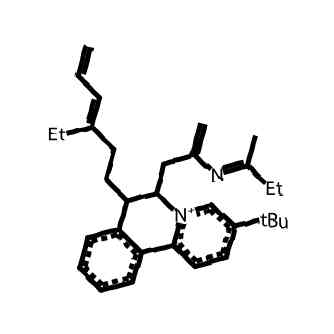 C=C/C=C(\CC)CCC1c2ccccc2-c2ccc(C(C)(C)C)c[n+]2C1CC(=C)N=C(C)CC